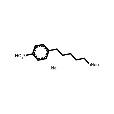 CCCCCCCCCCCCCCc1ccc(S(=O)(=O)O)cc1.[NaH]